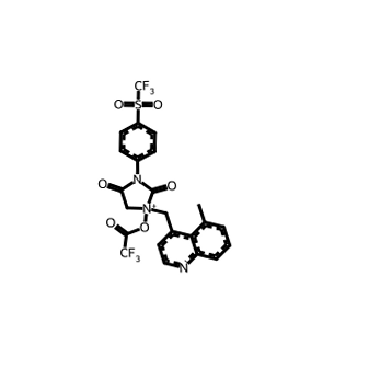 Cc1cccc2nccc(C[N+]3(OC(=O)C(F)(F)F)CC(=O)N(c4ccc(S(=O)(=O)C(F)(F)F)cc4)C3=O)c12